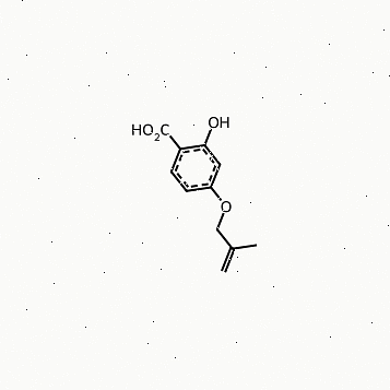 C=C(C)COc1ccc(C(=O)O)c(O)c1